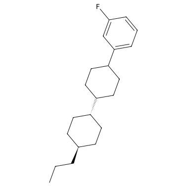 CCC[C@H]1CC[C@H](C2CCC(c3cccc(F)c3)CC2)CC1